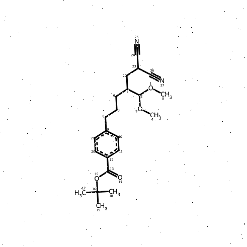 COC(OC)C(CCCc1ccc(C(=O)OC(C)(C)C)cc1)CC(C#N)C#N